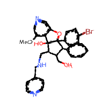 COc1cncc2c1C1(O)C(CNCc3ccncc3)C(CO)C(c3ccccc3)C1(c1ccc(Br)cc1)O2